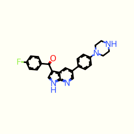 O=C(c1ccc(F)cc1)c1c[nH]c2ncc(-c3ccc(N4CCNCC4)cc3)cc12